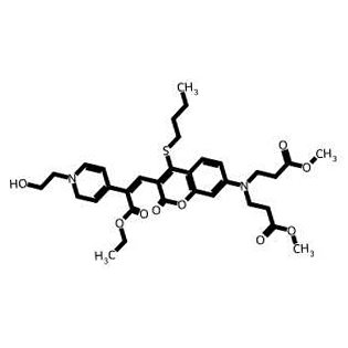 CCCCSc1c(C=C(C(=O)OCC)C2=CCN(CCO)C=C2)c(=O)oc2cc(N(CCC(=O)OC)CCC(=O)OC)ccc12